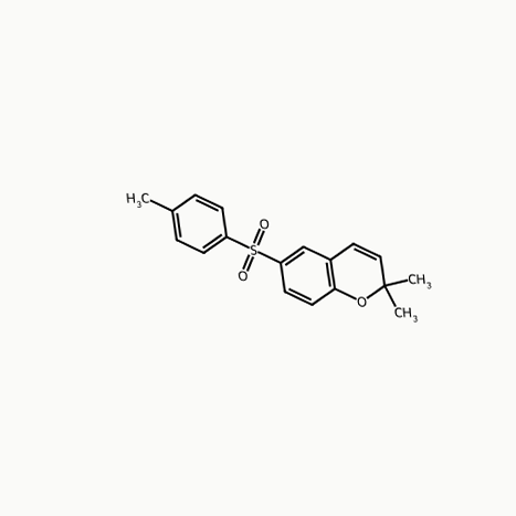 Cc1ccc(S(=O)(=O)c2ccc3c(c2)C=CC(C)(C)O3)cc1